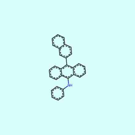 c1ccc(Nc2c3ccccc3c(-c3ccc4ccccc4c3)c3ccccc23)cc1